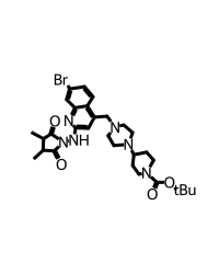 CC1C(=O)N(Nc2cc(CN3CCN(C4CCN(C(=O)OC(C)(C)C)CC4)CC3)c3ccc(Br)cc3n2)C(=O)C1C